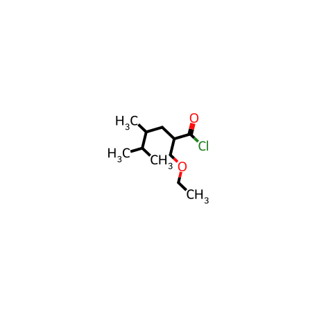 CCOCC(CC(C)C(C)C)C(=O)Cl